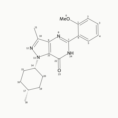 COc1ccccc1-c1nc2c(C)nn([C@H]3CC[C@@H](C)CC3)c2c(=O)[nH]1